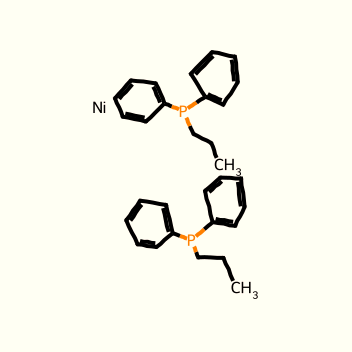 CCCP(c1ccccc1)c1ccccc1.CCCP(c1ccccc1)c1ccccc1.[Ni]